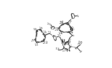 COc1cc(Cc2c(C(C)C)nc(C)n2COCc2ccccc2)cc(OC)c1